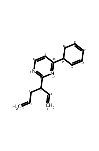 C=CCC(C=C)c1nccc(C2C=CC=CC2)n1